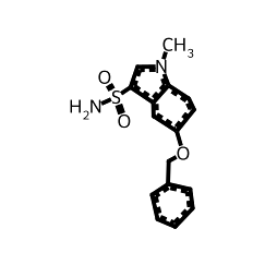 Cn1cc(S(N)(=O)=O)c2cc(OCc3ccccc3)ccc21